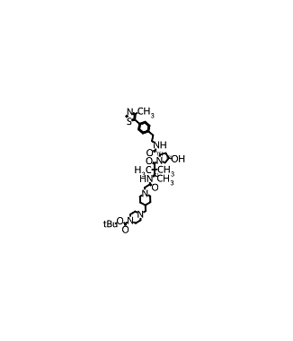 Cc1ncsc1-c1ccc(CCNC(=O)[C@@H]2C[C@@H](O)CN2C(=O)C(C)(C)[C@H](C)NC(=O)CN2CCC(CN3CCN(C(=O)OC(C)(C)C)CC3)CC2)cc1